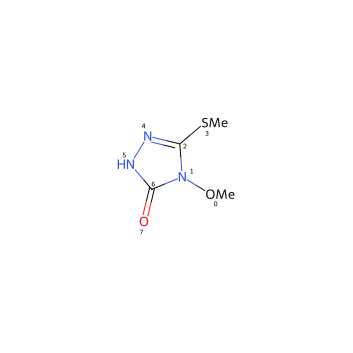 COn1c(SC)n[nH]c1=O